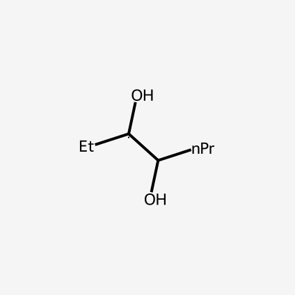 CCCC(O)[C](O)CC